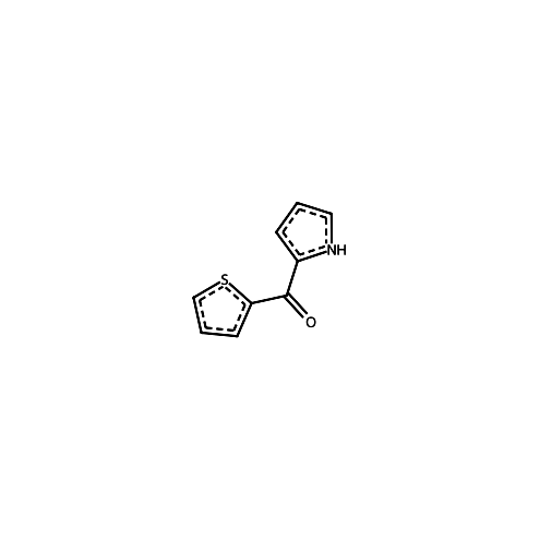 O=C(c1ccc[nH]1)c1cccs1